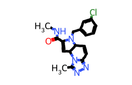 CNC(=O)C1=CC2C(C=Cc3nnc(C)n32)N1Cc1cccc(Cl)c1